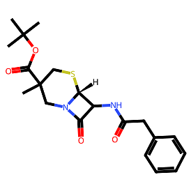 CC(C)(C)OC(=O)C1(C)CS[C@@H]2C(NC(=O)Cc3ccccc3)C(=O)N2C1